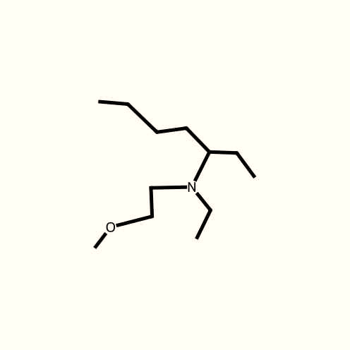 CCCCC(CC)N(CC)CCOC